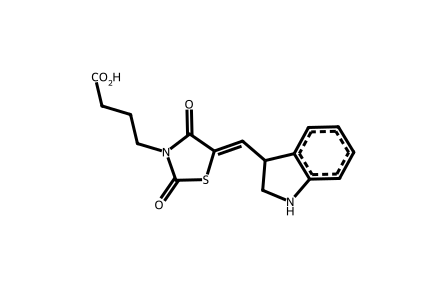 O=C(O)CCCN1C(=O)S/C(=C\C2CNc3ccccc32)C1=O